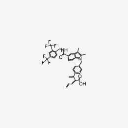 C=C/C=C(\C(=C)c1ccc(Cn2c(C)c(C)c3cc(C(=O)N[C@@H](C)c4ccc(C(F)(F)F)cc4C(F)(F)F)ccc32)cc1)C(=O)O